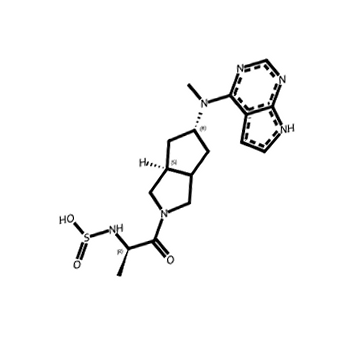 C[C@@H](NS(=O)O)C(=O)N1CC2C[C@@H](N(C)c3ncnc4[nH]ccc34)C[C@@H]2C1